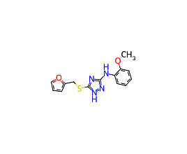 COc1ccccc1Nc1n[nH]c(SCc2ccco2)n1